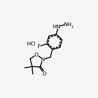 CC1(C)CON(Cc2ccc(NN)cc2F)C1=O.Cl